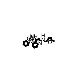 Cc1ccc(CNc2ccc3c(N(c4ccccc4)S(N)(=O)=O)cccc3n2)o1